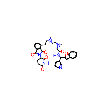 CN(CCc1cccc2c1C(=O)N(C1CCC(=O)NC1=O)C2=O)CCN(C)CC(=O)NC(c1cccnc1)c1cc2ccccc2o1